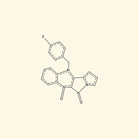 O=C1c2c(n(Cc3ccc(F)cc3)c3ccccc3c2=O)-c2cccn21